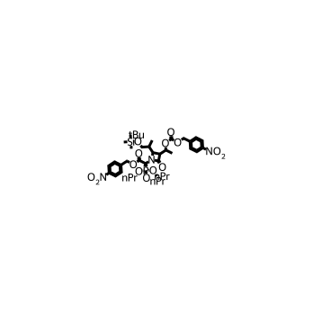 CCCOP(OCCC)(OCCC)=C(C(=O)OCc1ccc([N+](=O)[O-])cc1)N1C(=O)C(C(C)OC(=O)OCc2ccc([N+](=O)[O-])cc2)C1C(C)CO[Si](C)(C)C(C)(C)C